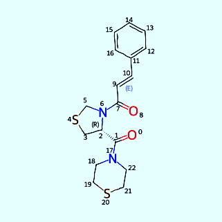 O=C([C@@H]1CSCN1C(=O)/C=C/c1ccccc1)N1CCSCC1